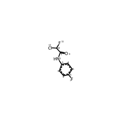 O=C(Nc1ccc(F)cc1)C(F)Cl